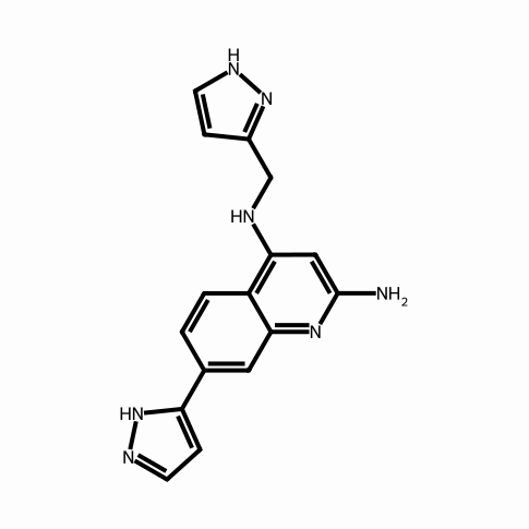 Nc1cc(NCc2cc[nH]n2)c2ccc(-c3ccn[nH]3)cc2n1